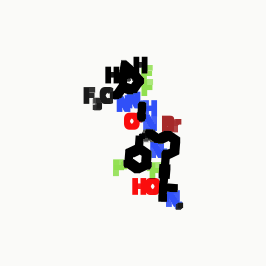 CN1CC(O)(C#Cc2ccc(Br)c([C@H](Cc3cc(F)cc(F)c3)NC(=O)Cn3nc(C(F)(F)F)c4c3C(F)(F)[C@@H]3C[C@H]43)n2)C1